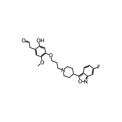 COc1cc(CC=O)c(O)cc1OCCCN1CCC(c2onc3cc(F)ccc23)CC1